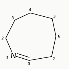 C1=NCCCCCC1